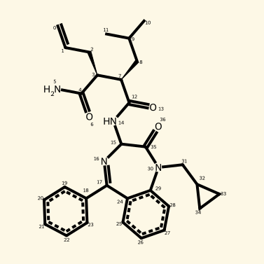 C=CC[C@H](C(N)=O)[C@@H](CC(C)C)C(=O)NC1N=C(c2ccccc2)c2ccccc2N(CC2CC2)C1=O